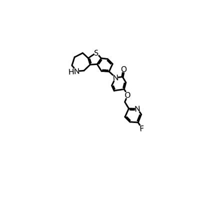 O=c1cc(OCc2ccc(F)cn2)ccn1-c1ccc2sc3c(c2c1)CNCCC3